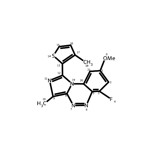 COc1cc(F)c2nnc3c(C)nc(-c4sccc4C)n3c2c1